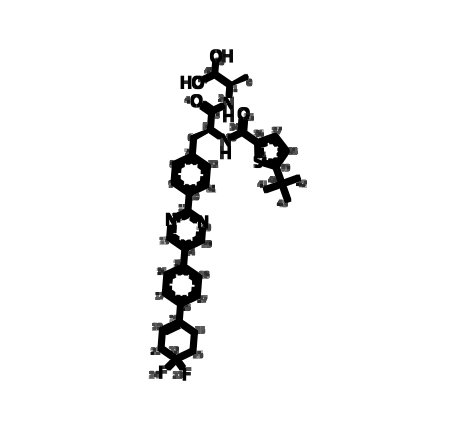 C[C@@H](NC(=O)[C@H](Cc1ccc(-c2ncc(-c3ccc(C4=CCC(F)(F)CC4)cc3)cn2)cc1)NC(=O)c1ccc(C(C)(C)C)s1)C(O)O